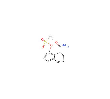 NC(=O)c1cccc2cccc(OS(=O)(=O)C(F)(F)F)c12